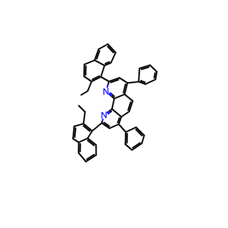 CCc1ccc2ccccc2c1-c1cc(-c2ccccc2)c2ccc3c(-c4ccccc4)cc(-c4c(CC)ccc5ccccc45)nc3c2n1